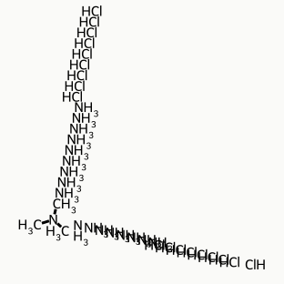 CN(C)C.Cl.Cl.Cl.Cl.Cl.Cl.Cl.Cl.Cl.Cl.Cl.Cl.Cl.Cl.Cl.Cl.Cl.Cl.N.N.N.N.N.N.N.N.N.N.N.N.N.N.N.N.N